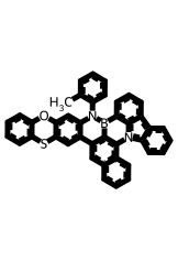 Cc1ccccc1N1B2c3c(cc4ccccc4c3-n3c4ccccc4c4cccc2c43)-c2cc3c(cc21)Oc1ccccc1S3